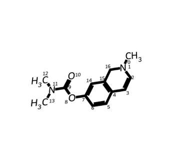 CN1C=Cc2ccc(OC(=O)N(C)C)cc2C1